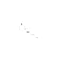 CCCC/C=C/C1(C)CCCC(=O)C1